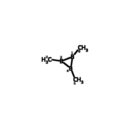 CB1B(C)B1C